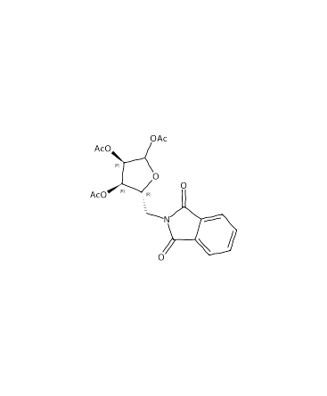 CC(=O)OC1O[C@H](CN2C(=O)c3ccccc3C2=O)[C@@H](OC(C)=O)[C@H]1OC(C)=O